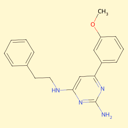 COc1cccc(-c2cc(NCCc3ccccc3)nc(N)n2)c1